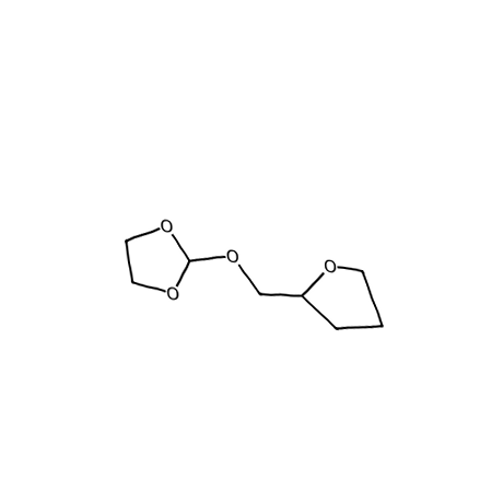 C1COC(COC2OCCO2)C1